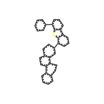 c1ccc(-c2cccc3c2sc2c(-c4ccc5ccc6c7ccccc7ccc6c5c4)cccc23)cc1